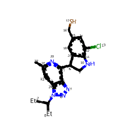 CCC(CC)n1nnc2c(C3CNc4c(Cl)cc(CS)cc43)nc(C)cc21